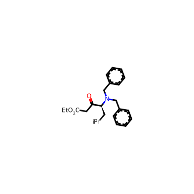 CCOC(=O)CC(=O)[C@H](CC(C)C)N(Cc1ccccc1)Cc1ccccc1